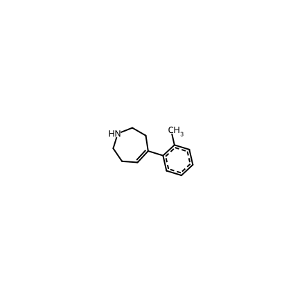 Cc1ccccc1C1=CCCNCC1